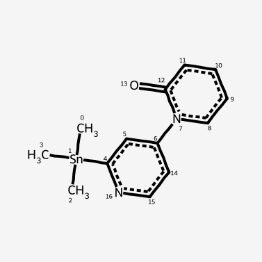 [CH3][Sn]([CH3])([CH3])[c]1cc(-n2ccccc2=O)ccn1